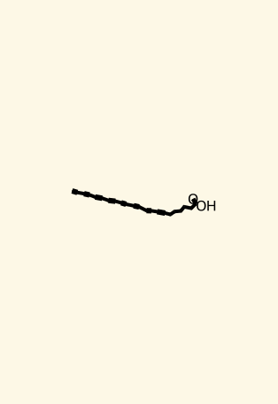 C#CC#CC#CC#CC#CC#CC#CC#CCCCCCC(=O)O